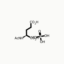 CC(=O)N[C@@H](CCC(=O)O)C(=O)O.O=P(O)(O)O